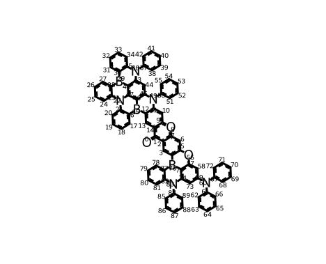 O=c1c2cc3c(cc2oc2cc4c(cc12)B1c2ccccc2N2c5ccccc5B5c6ccccc6N(c6ccccc6)c6cc(c1c2c65)N4c1ccccc1)Oc1cc(N(c2ccccc2)c2ccccc2)cc2c1B3c1ccccc1N2c1ccccc1